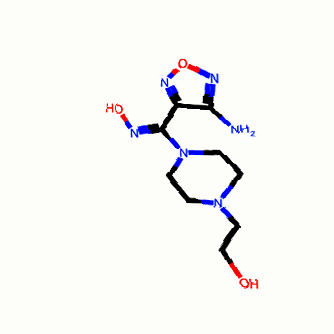 Nc1nonc1C(=NO)N1CCN(CCO)CC1